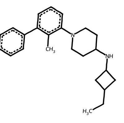 CCC1CC(NC2CCN(c3cccc(-c4ccccc4)c3C)CC2)C1